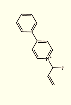 C=CC(F)[n+]1ccc(-c2ccccc2)cc1